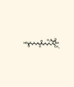 C[C@@H]1NC(=O)N(C)[C@@H]1CCCCCC(=O)NCCCCCC(=O)O